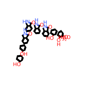 C=O.O.O.O=C1NCc2ccccc21.O=C1NCc2ccccc21.O=C1NCc2ccccc21.O=C1NCc2ccccc21.Oc1ccccc1.Oc1ccccc1.Oc1ccccc1.Oc1ccccc1